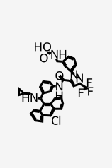 O=C(O)NCc1cccc(-n2nc(C(F)(F)F)cc2C(=O)Nc2cccc(C(NCC3CC3)c3c4ccccc4c(Cl)c4ccccc34)c2)c1